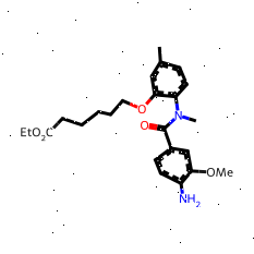 CCOC(=O)CCCCCOc1cc(C)ccc1N(C)C(=O)c1ccc(N)c(OC)c1